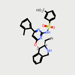 Cc1ccccc1-c1cc(O[C@H]2c3ccccc3CN[C@@H]2CC(C)C)nc(NS(=O)(=O)c2cccc(C(=O)O)c2)n1